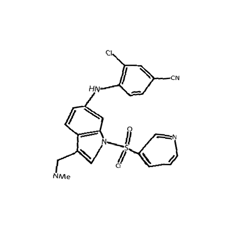 CNCc1cn(S(=O)(=O)c2cccnc2)c2cc(Nc3ccc(C#N)cc3Cl)ccc12